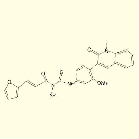 COc1cc(NC(=O)N(S)C(=O)/C=C/c2ccco2)ccc1-c1cc2ccccc2n(C)c1=O